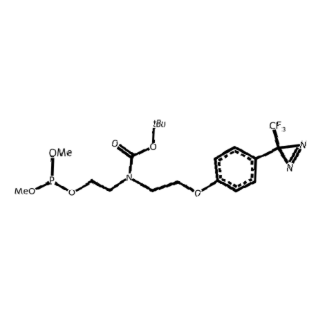 COP(OC)OCCN(CCOc1ccc(C2(C(F)(F)F)N=N2)cc1)C(=O)OC(C)(C)C